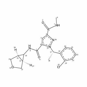 CNC(=O)c1cc(C(=O)NC2[C@H]3COC[C@@H]23)n([C@@H](C)c2ccccc2Cl)n1